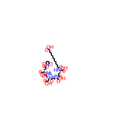 O=C(O)CCCCCCCCCCCCC(=O)N[C@@H](CCC(=O)N[C@@H](CCC(=O)N[C@@H](CCC(=O)N[C@@H](CCC(=O)ON1C(=O)CCC1=O)C(=O)O)CC(=O)O)C(=O)O)C(=O)O